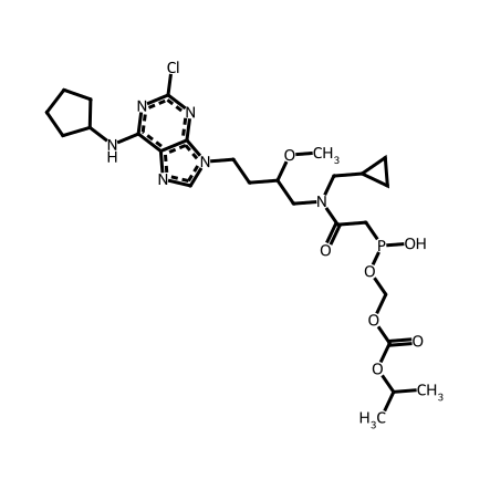 COC(CCn1cnc2c(NC3CCCC3)nc(Cl)nc21)CN(CC1CC1)C(=O)CP(O)OCOC(=O)OC(C)C